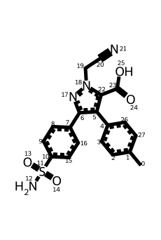 Cc1ccc(-c2c(-c3ccc(S(N)(=O)=O)cc3)nn(CC#N)c2C(=O)O)cc1